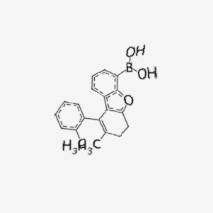 CC1=C(c2ccccc2C)c2c(oc3c(B(O)O)cccc23)CC1